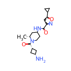 C[C@@H]1CC(NC(=O)c2cc(C3CC3)on2)CCN1C(=O)[C@H]1C[C@@H](N)C1